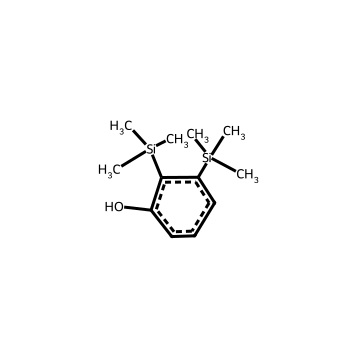 C[Si](C)(C)c1cccc(O)c1[Si](C)(C)C